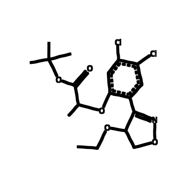 CCOC1CON=C1c1cc(Cl)c(Cl)cc1OC(C)C(=O)OC(C)(C)C